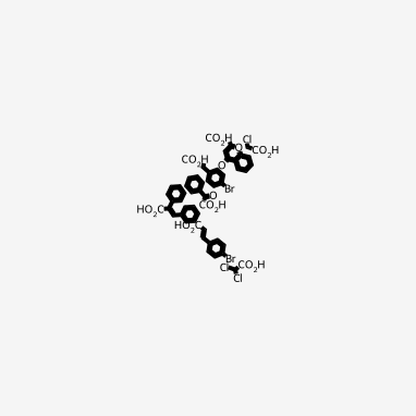 O=C(O)C(=Cc1ccccc1)c1ccccc1.O=C(O)C(=O)c1ccccc1.O=C(O)C(Cl)Cl.O=C(O)C=Cc1ccc(Br)cc1.O=C(O)CCl.O=C(O)Cc1ccc(Br)cc1.O=C(O)c1cc(=O)c2ccccc2o1